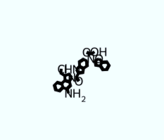 Nc1cc2c(c3ccccc13)C(CCl)CN2C(=O)c1cc2cc(N(C(=O)O)c3cc4ccccc4o3)ccc2[nH]1